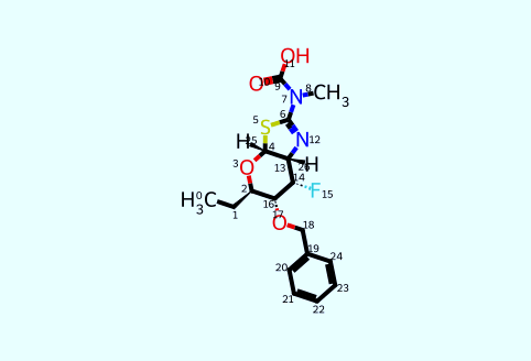 CC[C@H]1O[C@@H]2SC(N(C)C(=O)O)=N[C@@H]2[C@H](F)[C@@H]1OCc1ccccc1